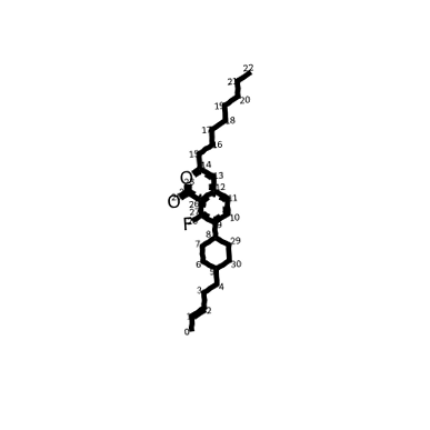 C/C=C/CCC1CCC(c2ccc3cc(CCCCCCCC)oc(=O)c3c2F)CC1